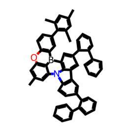 Cc1cc(C)c(-c2ccc3c(c2)B2c4c(cc(C)cc4-n4c5ccc(-c6ccccc6-c6ccccc6)cc5c5cc(-c6ccccc6-c6ccccc6)cc2c54)O3)c(C)c1